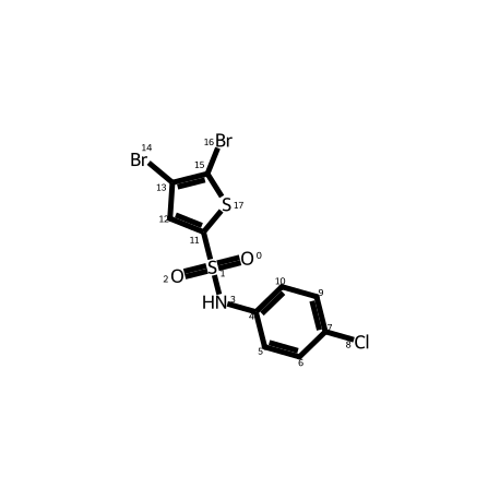 O=S(=O)(Nc1ccc(Cl)cc1)c1cc(Br)c(Br)s1